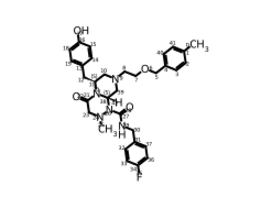 Cc1ccc(COCCN2C[C@H](Cc3ccc(O)cc3)N3C(=O)CN(C)N(C(=O)NCc4ccc(F)cc4)[C@H]3C2)cc1